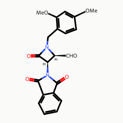 COc1ccc(CN2C(=O)[C@H](N3C(=O)c4ccccc4C3=O)[C@@H]2C=O)c(OC)c1